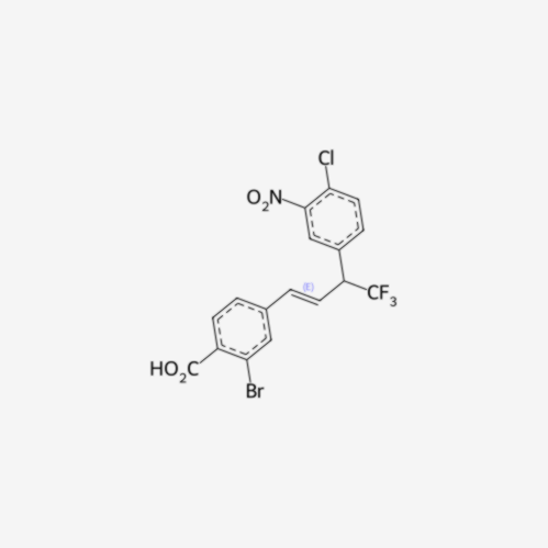 O=C(O)c1ccc(/C=C/C(c2ccc(Cl)c([N+](=O)[O-])c2)C(F)(F)F)cc1Br